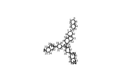 c1ccc2cc(-c3ccc4c(ccc5cc(N(c6ccc(-c7cc8ccncc8cn7)cc6)c6ccc(-c7cc8ccncc8cn7)cc6)ccc54)c3)ccc2c1